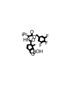 Cc1c(C(=O)NC(C(=O)OCc2cc(F)c(F)c(F)c2)C(C)C)ccc2c1B(O)OC2